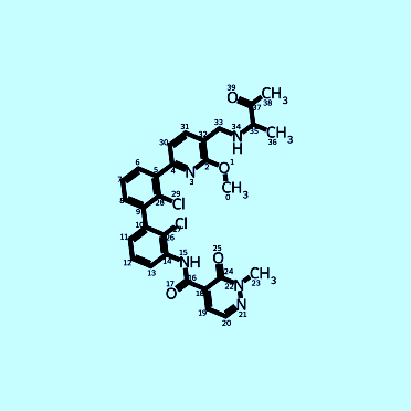 COc1nc(-c2cccc(-c3cccc(NC(=O)c4ccnn(C)c4=O)c3Cl)c2Cl)ccc1CNC(C)C(C)=O